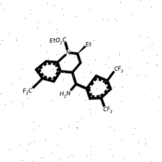 CCOC(=O)N1c2ccc(C(F)(F)F)cc2C(C(N)c2cc(C(F)(F)F)cc(C(F)(F)F)c2)C[C@@H]1CC